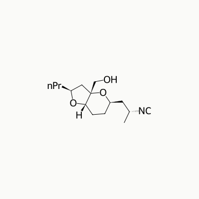 [C-]#[N+][C@H](C)C[C@H]1CC[C@@H]2O[C@@H](CCC)C[C@]2(CO)O1